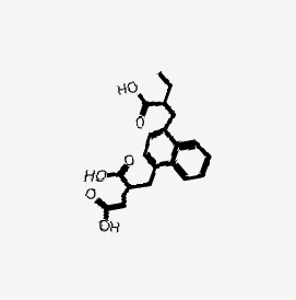 CCC(Cc1ccc(CC(CC(=O)O)C(=O)O)c2ccccc12)C(=O)O